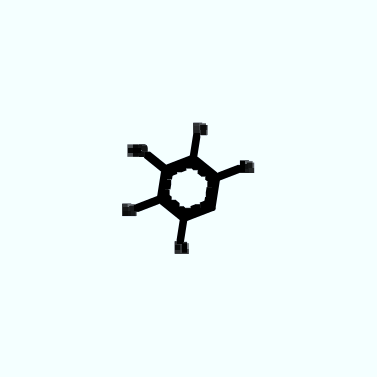 CCc1cc(CC)c(CC)c(O)c1CC